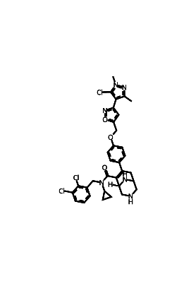 Cc1nn(C)c(Cl)c1-c1cc(COc2ccc(C3=C(C(=O)N(Cc4cccc(Cl)c4Cl)C4CC4)[C@H]4CNCC(C3)N4)cc2)on1